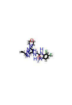 C#Cc1cnc2c(NCC(=O)Nc3c(N)ccc(F)c3F)cc(N3CCOCC3)nn12